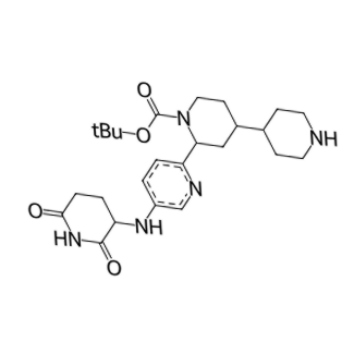 CC(C)(C)OC(=O)N1CCC(C2CCNCC2)CC1c1ccc(NC2CCC(=O)NC2=O)cn1